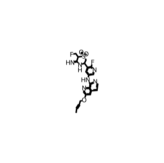 CC#CCOc1cnc2c(Nc3cnc(F)c(C4CS(=O)(=O)C(CF)C(=N)N4)c3)nccc2c1